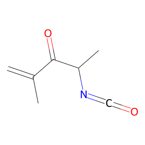 C=C(C)C(=O)C(C)N=C=O